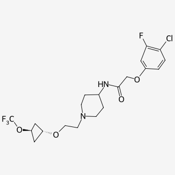 O=C(COc1ccc(Cl)c(F)c1)NC1CCN(CCO[C@H]2C[C@H](OC(F)(F)F)C2)CC1